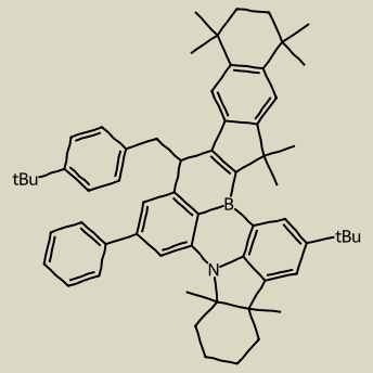 CC(C)(C)c1ccc(CC2C3=C(B4c5cc(C(C)(C)C)cc6c5N(c5cc(-c7ccccc7)cc2c54)C2(C)CCCCC62C)C(C)(C)c2cc4c(cc23)C(C)(C)CCC4(C)C)cc1